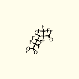 COC(=O)C(F)(F)C(F)(F)C(=O)C(F)(C(=O)F)C(F)(F)F